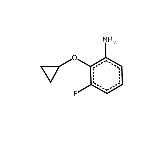 Nc1cccc(F)c1OC1CC1